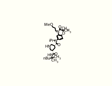 CCCCC(C)(C)NC(=O)[C@@H]1CNC[C@H](C(=O)N(c2ccc3c(c2)N(CCCOC)C(=O)C(C)(C)O3)C(C)C)C1